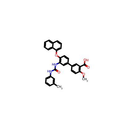 COc1ccc(-c2ccc(Oc3cccc4ccccc34)c(NC(=O)Nc3cccc(C)c3)c2)cc1C(=O)O